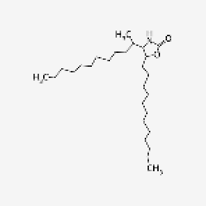 CCCCCCCCCCCCC1OC(=O)NC1C(C)CCCCCCCCCC